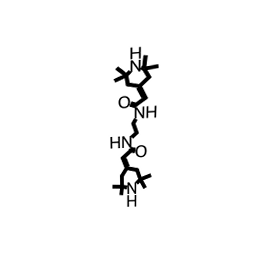 CC1(C)CC(=CC(=O)NCCNC(=O)C=C2CC(C)(C)NC(C)(C)C2)CC(C)(C)N1